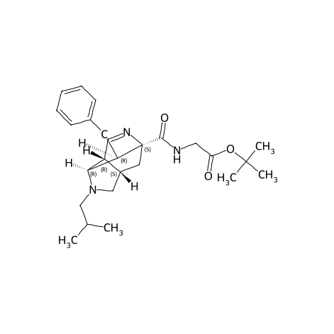 CC(C)CN1C[C@H]2C[C@]3(C(=O)NCC(=O)OC(C)(C)C)N=C[C@H]2[C@H]1[C@H]3Cc1ccccc1